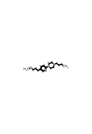 CCCCN1CCN(c2ccc(CCCOC)cn2)CC1